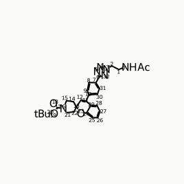 CC(=O)NCCn1nnc(-c2ccc(C3=CC4(CCN(C(=O)OC(C)(C)C)CC4)Oc4ccccc43)cc2)n1